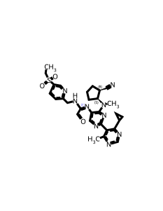 CCS(=O)(=O)c1ccc(CN/C(C=O)=N/c2cnc(-c3c(C)ncnc3C3CC3)nc2N(C)[C@H]2CCC[C@H]2C#N)nc1